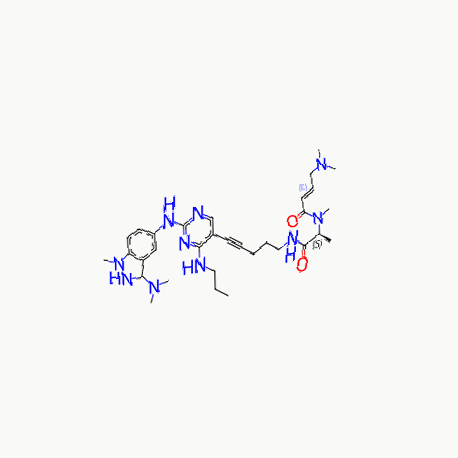 CCCNc1nc(Nc2ccc3c(c2)C(N(C)C)NN3C)ncc1C#CCCCNC(=O)[C@H](C)N(C)C(=O)/C=C/CN(C)C